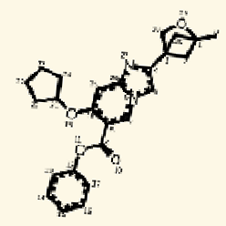 CC12CC(c3cn4cc(C(=O)Oc5ccccc5)c(OC5CCCC5)cc4n3)(CO1)C2